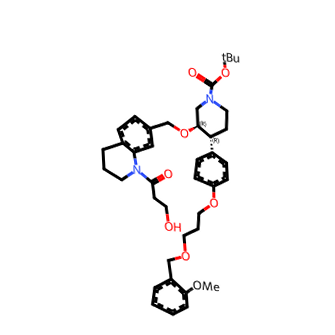 COc1ccccc1COCCCOc1ccc([C@H]2CCN(C(=O)OC(C)(C)C)C[C@@H]2OCc2ccc3c(c2)N(C(=O)CCO)CCC3)cc1